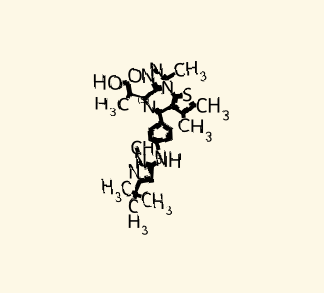 Cc1sc2c(c1C)C(c1ccc(Nc3cc(C(C)(C)C)nn3C)cc1)=N[C@@H](C(C)C(=O)O)c1nnc(C)n1-2